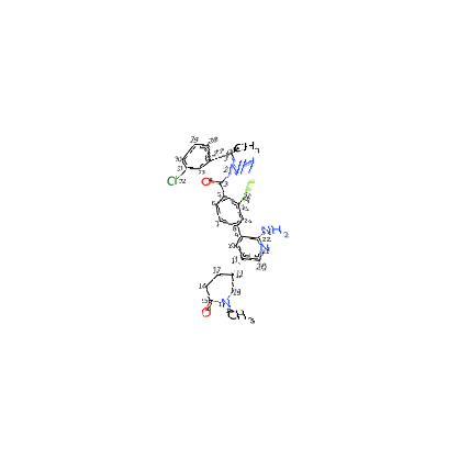 C[C@@H](NC(=O)c1ccc(-c2cc([C@H]3CCC(=O)N(C)C3)cnc2N)cc1F)c1cccc(Cl)c1